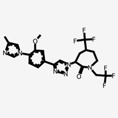 COc1cc(-c2cn(C3CC(C(F)(F)F)CCN(CC(F)(F)F)C3=O)nn2)ccc1-n1cnc(C)c1